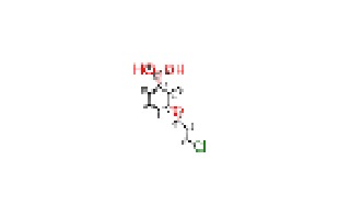 Cc1c(OCCCCl)cccc1B(O)O